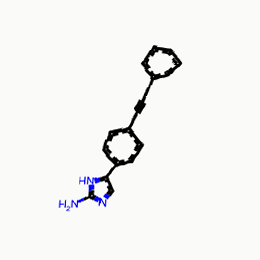 Nc1ncc(-c2ccc(C#Cc3ccccc3)cc2)[nH]1